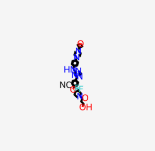 N#Cc1cc(-c2ncnc(Nc3ccc(N4CCN(C5COC5)CC4)cc3)n2)ccc1O[C@H]1CCN(C(=O)CCO)CC1(F)F